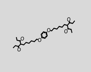 CCC(=O)C(CCCCCCOc1ccc(OCCCCCCC(C(=O)CC)C(=O)CC)cc1)C(=O)CC